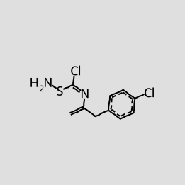 C=C(Cc1ccc(Cl)cc1)/N=C(/Cl)SN